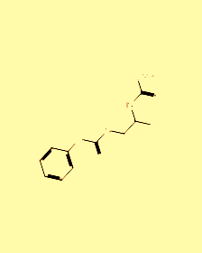 CCC(CNC(=O)Oc1ccccc1)NC(=O)OC